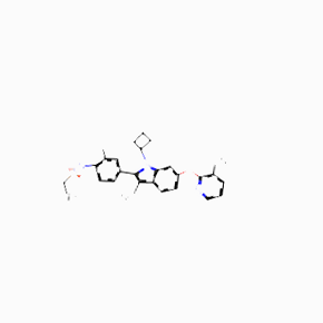 Cc1cc(-c2c(C#N)c3ccc(Oc4ncccc4C#N)cc3n2C2CCC2)ccc1NS(=O)(=O)CC(C)C